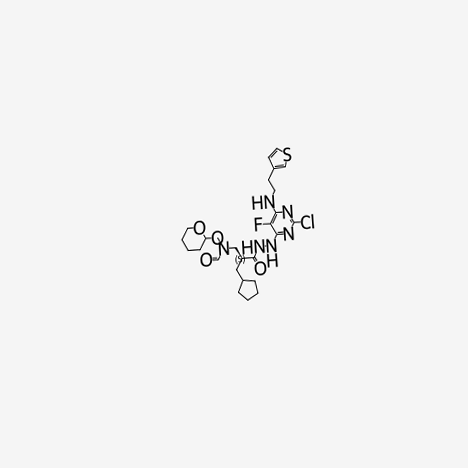 O=CN(C[C@H](CC1CCCC1)C(=O)NNc1nc(Cl)nc(NCCc2ccsc2)c1F)OC1CCCCO1